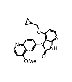 COc1ccnc2ccc(-n3c(=O)[nH]c4nccc(OCC5CC5)c43)cc12